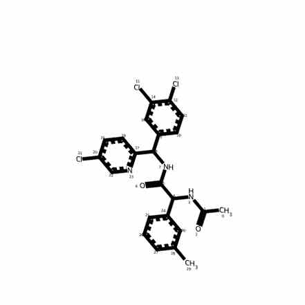 CC(=O)NC(C(=O)NC(c1ccc(Cl)c(Cl)c1)c1ccc(Cl)cn1)c1cccc(C)c1